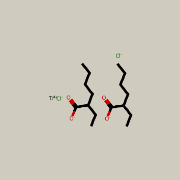 CCCCC(CC)C(=O)[O-].CCCCC(CC)C(=O)[O-].[Cl-].[Cl-].[Ti+4]